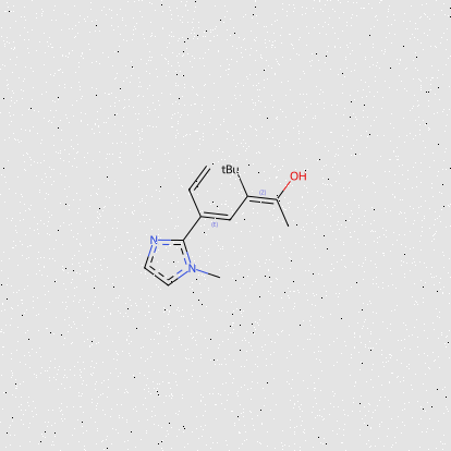 C=C/C(=C\C(=C(/C)O)C(C)(C)C)c1nccn1C